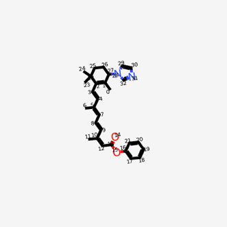 CC1=C(/C=C/C(C)=C/C=C/C(C)=C\C(=O)Oc2ccccc2)C(C)(C)CCC1n1ccnc1